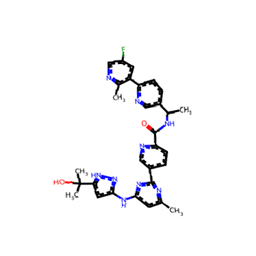 Cc1cc(Nc2cc(C(C)(C)O)[nH]n2)nc(-c2ccc(C(=O)NC(C)c3ccc(-c4cc(F)cnc4C)nc3)nc2)n1